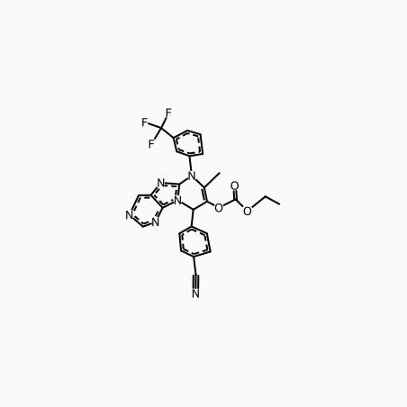 CCOC(=O)OC1=C(C)N(c2cccc(C(F)(F)F)c2)c2nc3cncnc3n2C1c1ccc(C#N)cc1